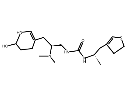 C[C@@H](CC1=CSCC1)NC(=O)NC[C@H](CC1=CNC(O)CC1)N(C)C